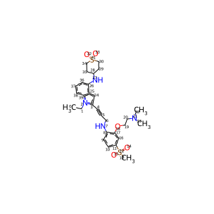 CCn1c(C#CCNc2ccc(S(C)(=O)=O)cc2OCCN(C)C)cc2c(NC3CCS(=O)(=O)CC3)cccc21